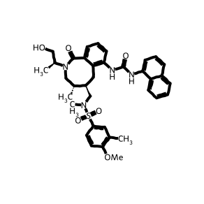 COc1ccc(S(=O)(=O)N(C)C[C@@H]2Cc3c(NC(=O)Nc4cccc5ccccc45)cccc3C(=O)N([C@@H](C)CO)C[C@H]2C)cc1C